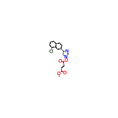 COC(=O)/C=C/C(=O)ON1C=NC(c2ccc3cccc(Cl)c3c2)C1